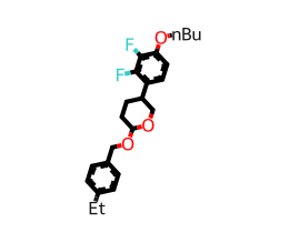 CCCCOc1ccc(C2CCC(OCc3ccc(CC)cc3)OC2)c(F)c1F